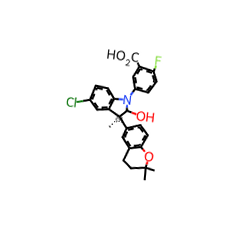 CC1(C)CCc2cc([C@@]3(C)c4cc(Cl)ccc4N(c4ccc(F)c(C(=O)O)c4)C3O)ccc2O1